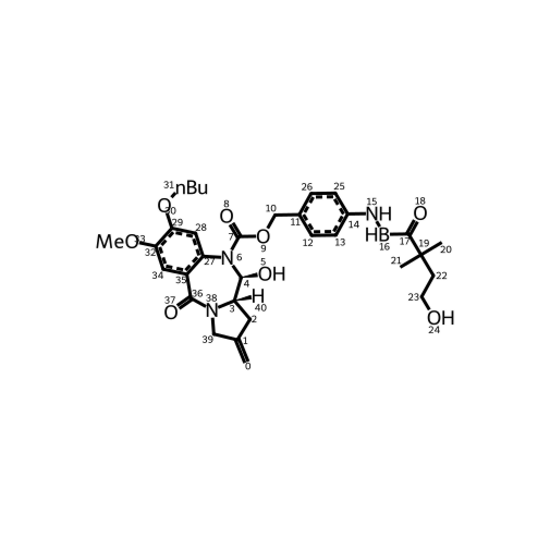 C=C1C[C@H]2[C@H](O)N(C(=O)OCc3ccc(NBC(=O)C(C)(C)CCO)cc3)c3cc(OCCCC)c(OC)cc3C(=O)N2C1